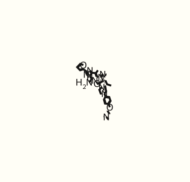 C=NN(c1nc(N)n2nc(-c3ccco3)nc2c1C)[C@@H](CCC)C(=O)N1CCN(c2ccc(OCCN(C)C)cc2)CC1